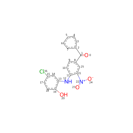 O=C(c1ccccc1)c1ccc(Nc2cc(Cl)ccc2O)c([N+](=O)[O-])c1